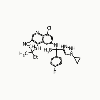 BC(Nc1cc(Cl)c2ncc(C#N)c(NC(C)(C)CC)c2c1)(C1=CN(C2CC2)NN1)c1ccc(F)cc1